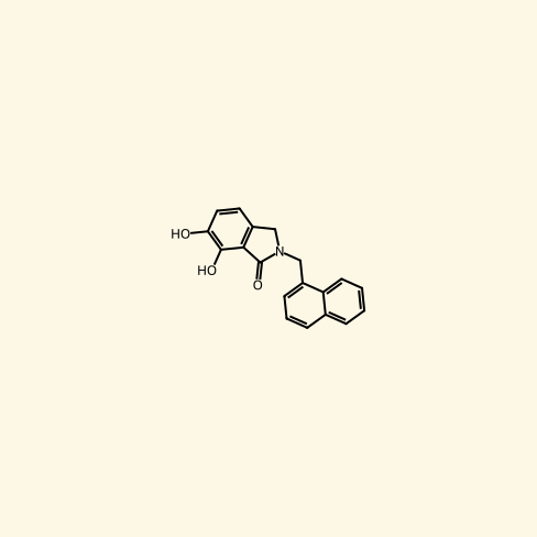 O=C1c2c(ccc(O)c2O)CN1Cc1cccc2ccccc12